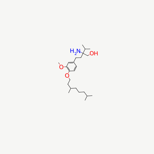 COc1cc(CCC(N)(CO)C(C)C)ccc1OCCC(C)CCCC(C)C